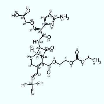 CCOC(=O)OCCOC(=O)C1=C(C=CC(F)(F)F)CS[C@H]2C(NC(=O)C(=NOCC(=O)O)c3csc(N)n3)C(=O)N12